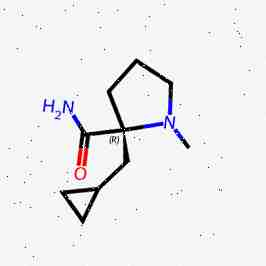 CN1CCC[C@@]1(CC1CC1)C(N)=O